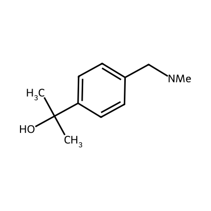 CNCc1ccc(C(C)(C)O)cc1